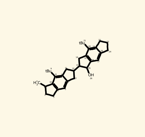 CC1CCc2cc3c(c(C(C)(C)C)c21)CC(C1Cc2c(cc4c(c2C(C)(C)C)CCC4)C1O)C3